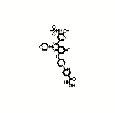 COc1ncc(-c2nc(N3CCOCC3)nc3c(OC4CCN(c5ccc(C(=O)NO)cn5)CC4)cc(F)cc23)cc1NS(C)(=O)=O